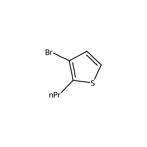 CCCc1sccc1Br